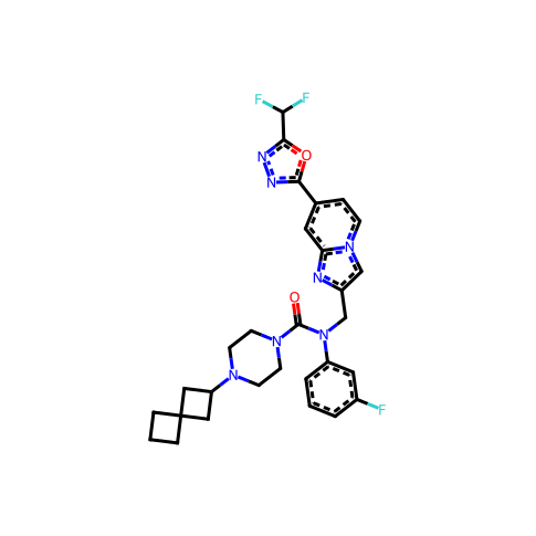 O=C(N1CCN(C2CC3(CCC3)C2)CC1)N(Cc1cn2ccc(-c3nnc(C(F)F)o3)cc2n1)c1cccc(F)c1